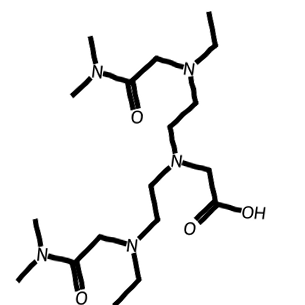 CCN(CCN(CCN(CC)CC(=O)N(C)C)CC(=O)O)CC(=O)N(C)C